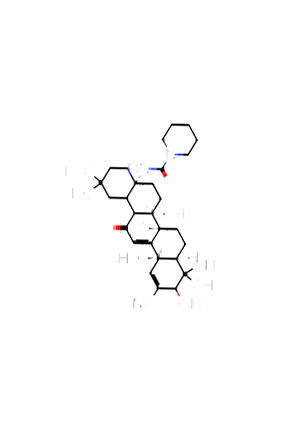 CC1(C)CC[C@]2(NC(=O)N3CCCCC3)CC[C@]3(C)C(C(=O)C=C4[C@@]5(C)C=C(C#N)C(O)C(C)(C)[C@@H]5CC[C@]43C)C2C1